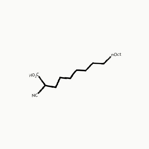 CCCCCCCCCCCCCCCC(C#N)C(=O)O